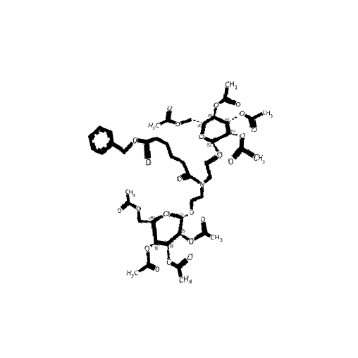 CC(=O)OC[C@H]1O[C@H](OCCN(CCO[C@H]2O[C@H](COC(C)=O)[C@@H](OC(C)=O)[C@H](OC(C)=O)[C@@H]2OC(C)=O)C(=O)CCCCC(=O)OCc2ccccc2)[C@@H](OC(C)=O)[C@@H](OC(C)=O)[C@@H]1OC(C)=O